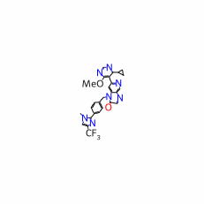 COc1ncnc(C2CC2)c1-c1cc2c(cn1)ncc(=O)n2Cc1ccc(-c2nc(C(F)(F)F)cn2C)cc1